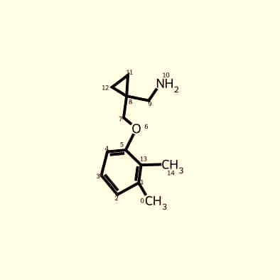 Cc1cccc(OCC2(CN)CC2)c1C